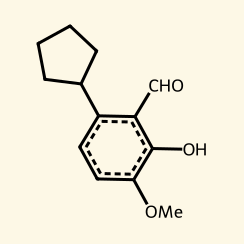 COc1ccc(C2CCCC2)c(C=O)c1O